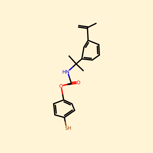 C=C(C)c1cccc(C(C)(C)NC(=O)Oc2ccc(S)cc2)c1